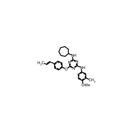 C/C=C/c1ccc(Oc2nc(Nc3ccc(OC)c(C)c3)nc(NC3CCCCCC3)n2)cc1